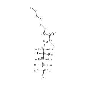 CCCCCCOC(=O)C(C)=CC(F)(F)C(F)(F)C(F)(F)C(F)(F)C(F)(F)F